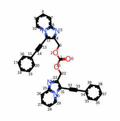 O=C(OCc1nc2ccccn2c1C#Cc1ccccc1)OCc1nc2ccccn2c1C#Cc1ccccc1